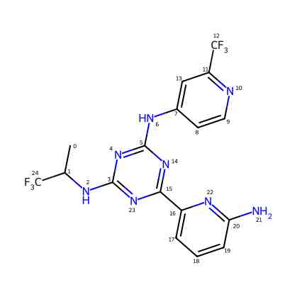 CC(Nc1nc(Nc2ccnc(C(F)(F)F)c2)nc(-c2cccc(N)n2)n1)C(F)(F)F